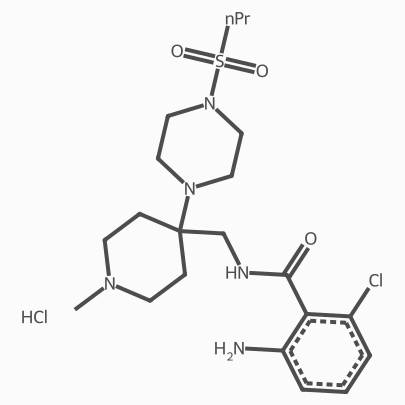 CCCS(=O)(=O)N1CCN(C2(CNC(=O)c3c(N)cccc3Cl)CCN(C)CC2)CC1.Cl